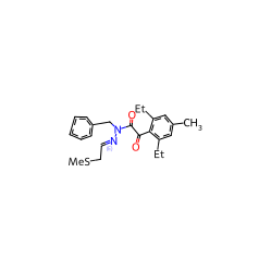 CCc1cc(C)cc(CC)c1C(=O)C(=O)N(Cc1ccccc1)/N=C/CSC